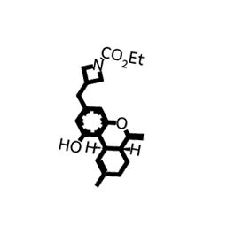 C=C1Oc2cc(CC3CN(C(=O)OCC)C3)cc(O)c2[C@@H]2C=C(C)CC[C@@H]12